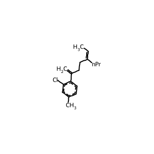 C=C(CC/C(=C\C)CCC)c1ccc(C)cc1Cl